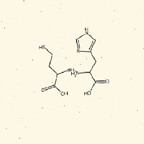 NC(CCS)C(=O)O.NC(Cc1c[nH]cn1)C(=O)O